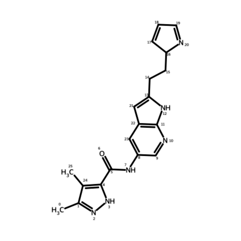 Cc1n[nH]c(C(=O)Nc2cnc3[nH]c(CCC4C=CC=N4)cc3c2)c1C